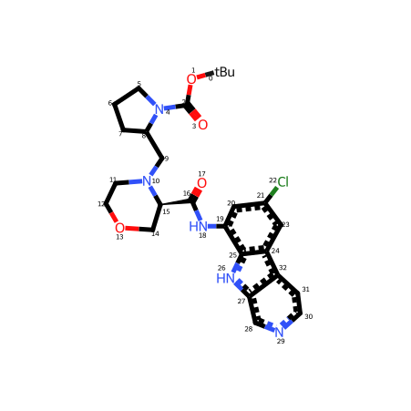 CC(C)(C)OC(=O)N1CCCC1CN1CCOC[C@@H]1C(=O)Nc1cc(Cl)cc2c1[nH]c1cnccc12